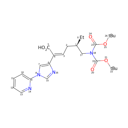 CC[C@H](C/C=C(\C(=O)O)c1cn(-c2ccccn2)cn1)CN(C(=O)OC(C)(C)C)C(=O)OC(C)(C)C